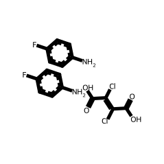 Nc1ccc(F)cc1.Nc1ccc(F)cc1.O=C(O)C(Cl)=C(Cl)C(=O)O